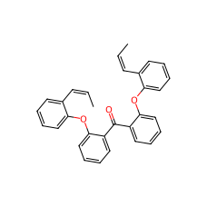 C/C=C\c1ccccc1Oc1ccccc1C(=O)c1ccccc1Oc1ccccc1/C=C\C